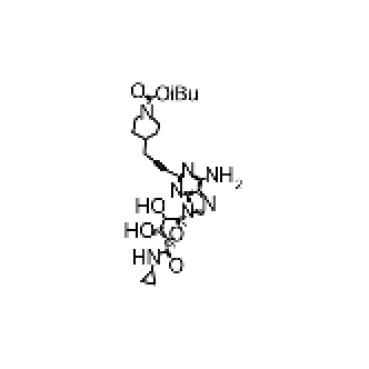 CC(C)COC(=O)N1CCC(CC#Cc2nc(N)c3ncn([C@@H]4O[C@H](C(=O)NC5CC5)[C@H](O)C4O)c3n2)CC1